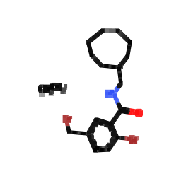 O=C(NC[C]1CCCCCCC1)c1cc(CBr)ccc1Br.[CH2].[CH2]